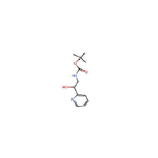 CC(C)(C)OC(=O)NCC(O)c1ccccn1